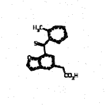 Cc1ccccc1C(=S)c1cc(CC(=O)O)cc2ccoc12